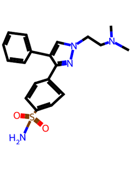 CN(C)CCn1cc(-c2ccccc2)c(-c2ccc(S(N)(=O)=O)cc2)n1